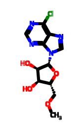 COC[C@H]1O[C@@H](n2cnc3c(Cl)ncnc32)[C@H](O)[C@@H]1O